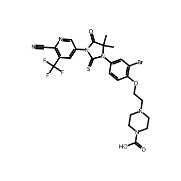 CC1(C)C(=O)N(c2cnc(C#N)c(C(F)(F)F)c2)C(=S)N1c1ccc(OCCN2CCN(C(=O)O)CC2)c(Br)c1